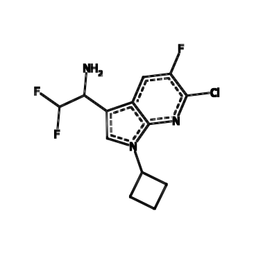 NC(c1cn(C2CCC2)c2nc(Cl)c(F)cc12)C(F)F